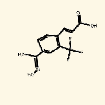 NC(=NO)c1ccc(C=CC(=O)O)c(C(F)(F)F)c1